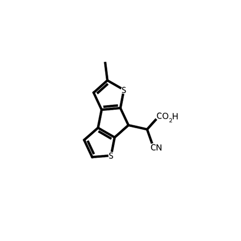 Cc1cc2c(s1)C(C(C#N)C(=O)O)c1sccc1-2